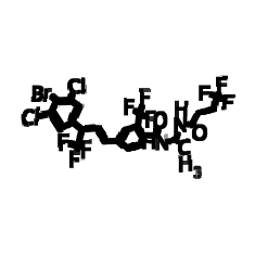 C[C@H](NC(=O)CCC(F)(F)F)NC(=O)c1ccc(C=CC(c2cc(Cl)c(Br)c(Cl)c2)C(F)(F)F)cc1C(F)(F)F